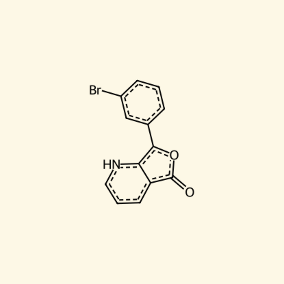 O=c1oc(-c2cccc(Br)c2)c2[nH]cccc1-2